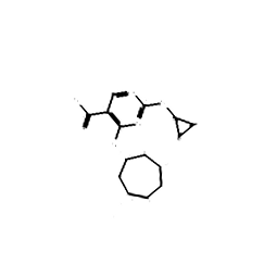 NC(=O)c1cnc(NC2CC2)nc1N[C@@H]1CCCC[C@H](O)C1